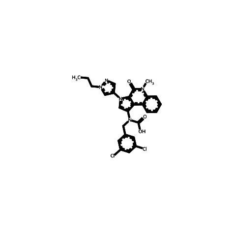 CCCn1cc(-n2cc(N(Cc3cc(Cl)cc(Cl)c3)C(=O)O)c3c4ccccc4n(C)c(=O)c32)cn1